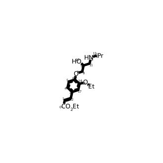 CCOC(=O)C=Cc1ccc(OCC(O)CNC(C)C)c(OCC)c1